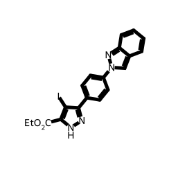 CCOC(=O)c1[nH]nc(-c2ccc(-n3cc4ccccc4n3)cc2)c1I